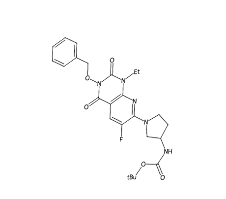 CCn1c(=O)n(OCc2ccccc2)c(=O)c2cc(F)c(N3CCC(NC(=O)OC(C)(C)C)C3)nc21